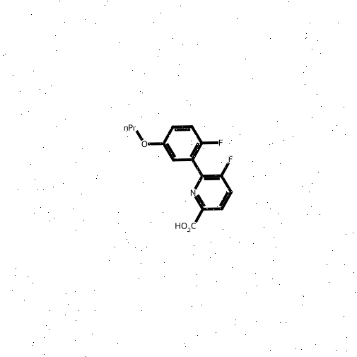 CCCOc1ccc(F)c(-c2nc(C(=O)O)ccc2F)c1